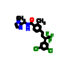 Cc1cc(/C=C/C(c2cc(Cl)cc(Cl)c2)C(F)(F)F)ccc1C(=O)NCc1nccn1C